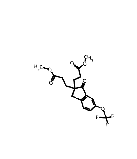 COC(=O)CCC1(CCC(=O)OC)Cc2ccc(OC(F)(F)F)cc2C1=O